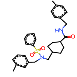 Cc1ccc(CNC(=O)C2CCC(CN(Cc3cccc(C)c3)S(=O)(=O)c3ccccc3)CC2)cc1